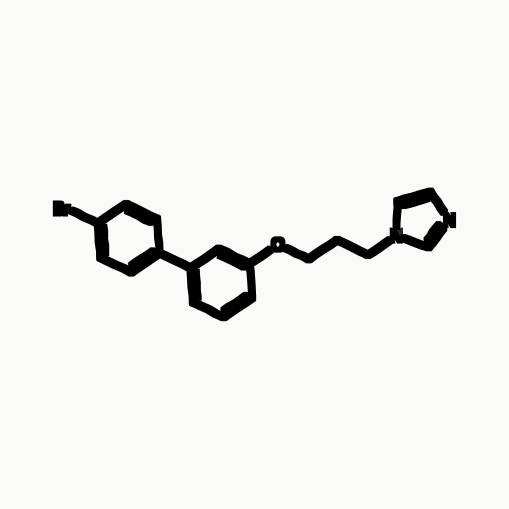 Brc1ccc(-c2cccc(OCCCn3ccnc3)c2)cc1